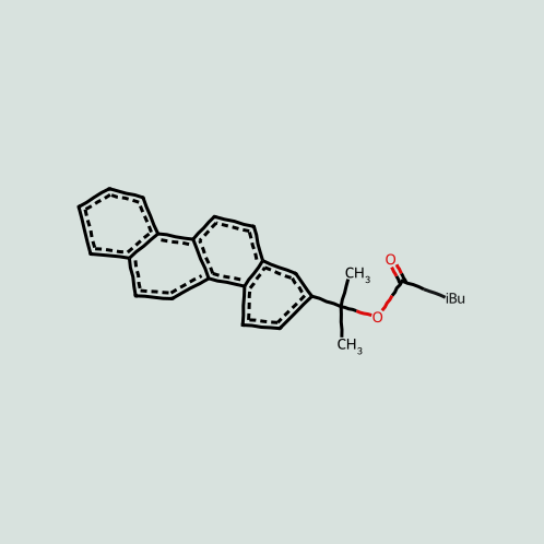 CCC(C)C(=O)OC(C)(C)c1ccc2c(ccc3c4ccccc4ccc23)c1